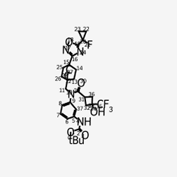 CC(C)(C)OC(=O)Nc1cccc(N(CC23CCC(c4noc(C5(F)CC5)n4)(CC2)CC3)C(=O)C2CC(O)(C(F)(F)F)C2)c1